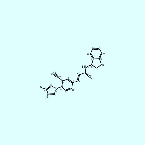 [C-]#[N+]c1cc(/C=C/C(=O)NC2CCc3ccccc32)ccc1-n1cnc(C)c1